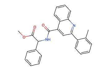 COC(=O)C(NC(=O)c1cc(-c2ccccc2C)nc2ccccc12)c1ccccc1